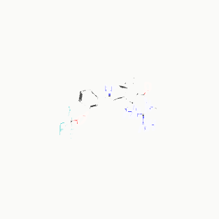 CN1C(=N)N[C@](C)(c2ccnc(-c3cccc(OC(F)(F)F)c3)c2)[C@@H](C2CC2)C1=O